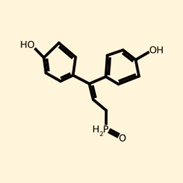 O=[PH2]CC=C(c1ccc(O)cc1)c1ccc(O)cc1